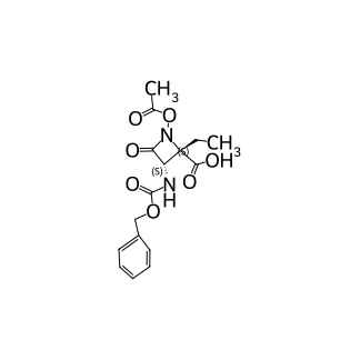 CC[C@@]1(C(=O)O)[C@H](NC(=O)OCc2ccccc2)C(=O)N1OC(C)=O